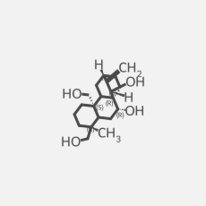 C=C1[C@H]2CC[C@]3(C(C2)[C@]2(CO)CCC[C@@](C)(CO)C2C[C@H]3O)[C@H]1O